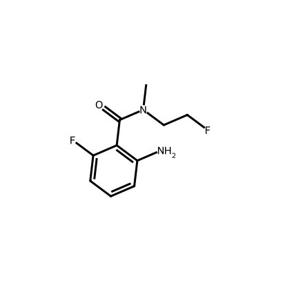 CN(CCF)C(=O)c1c(N)cccc1F